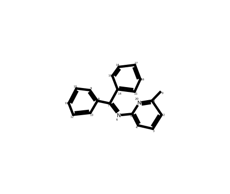 Cc1cccc(N=C(c2ccccc2)c2ccccc2)n1